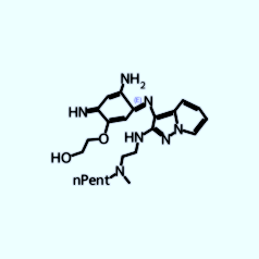 CCCCCN(C)CCNc1nn2ccccc2c1/N=C1\C=C(OCCO)C(=N)C=C1N